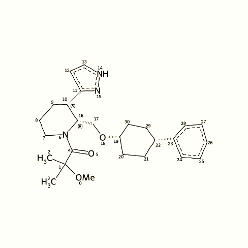 COC(C)(C)C(=O)N1CCC[C@H](c2cc[nH]n2)[C@@H]1CO[C@H]1CC[C@@H](c2ccccc2)CC1